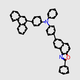 c1ccc(-c2nc3c(ccc4cc(-c5ccc(N(c6ccccc6)c6ccc(-c7cc8ccccc8c8ccccc78)cc6)cc5)ccc43)o2)cc1